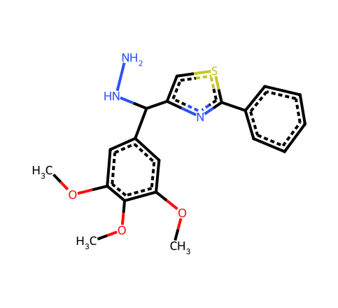 COc1cc(C(NN)c2csc(-c3ccccc3)n2)cc(OC)c1OC